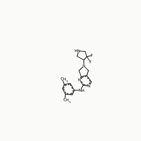 Cc1cc(C)cc(Nc2ncc3c(n2)CN(C2CNCC2(F)F)C3)c1